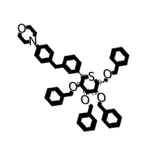 c1ccc(COC[C@H]2S[C@@H](c3cccc(Cc4ccc(N5CCOCC5)cc4)c3)[C@H](OCc3ccccc3)[C@@H](OCc3ccccc3)[C@@H]2OCc2ccccc2)cc1